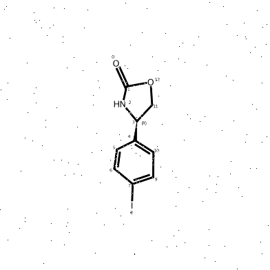 O=C1N[C@H](c2ccc(I)cc2)CO1